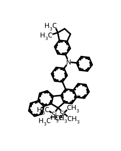 CC1(C)CCc2cc(N(c3ccccc3)c3cccc(-c4c5c(cc6ccccc46)C([Si](C)(C)C)([Si](C)(C)C)c4c-5ccc5ccccc45)c3)ccc21